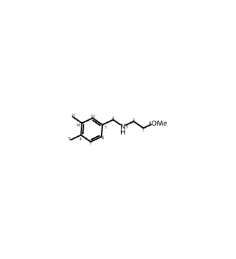 COCCNCc1ccc(C)c(C)c1